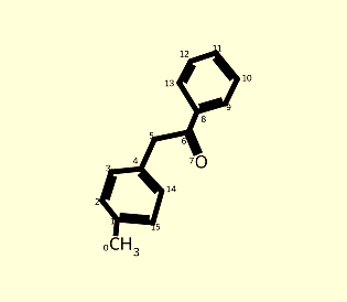 Cc1ccc(CC(=O)c2cc[c]cc2)cc1